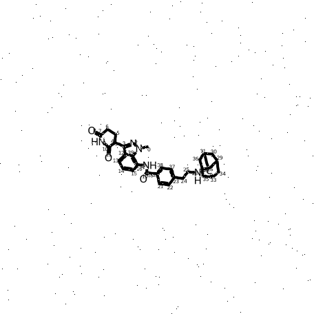 Cn1nc(C2CCC(=O)NC2=O)c2cccc(NC(=O)c3ccc(CCNC45CC6CC(CC(C6)C4)C5)cc3)c21